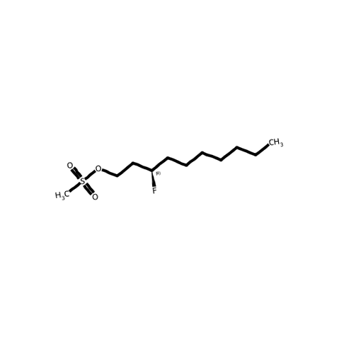 CCCCCCC[C@@H](F)CCOS(C)(=O)=O